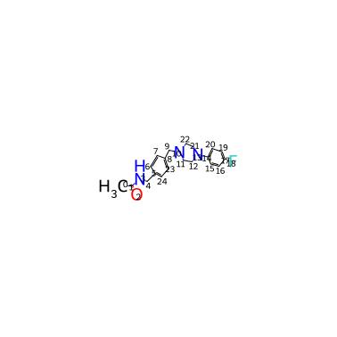 CC(=O)NCc1ccc(CN2CCN(c3ccc(F)cc3)CC2)cc1